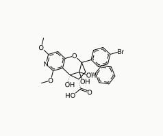 COc1cc2c(c(OC)n1)[C@]1(O)[C@@H](C(=O)O)[C@@H](c3ccccc3)C(c3ccc(Br)cc3)(O2)C1(O)O